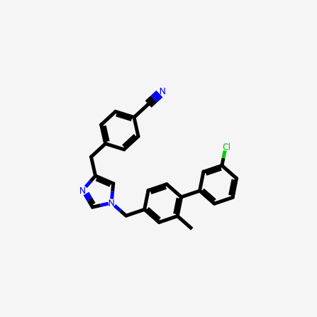 Cc1cc(Cn2cnc(Cc3ccc(C#N)cc3)c2)ccc1-c1cccc(Cl)c1